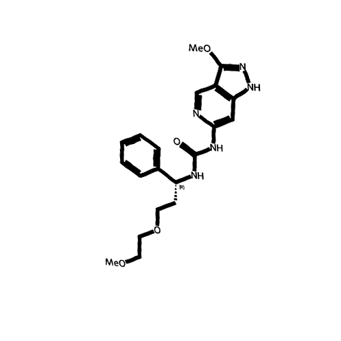 COCCOCC[C@@H](NC(=O)Nc1cc2[nH]nc(OC)c2cn1)c1ccccc1